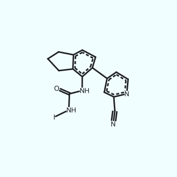 N#Cc1cc(-c2ccc3c(c2NC(=O)NI)CCC3)ccn1